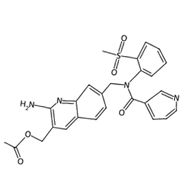 CC(=O)OCc1cc2ccc(CN(C(=O)c3cccnc3)c3ccccc3S(C)(=O)=O)cc2nc1N